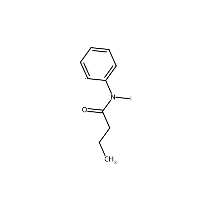 CCCC(=O)N(I)c1[c]cccc1